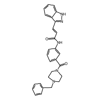 O=C(/C=C/c1n[nH]c2ccccc12)Nc1cccc(C(=O)N2CCN(Cc3ccccc3)CC2)c1